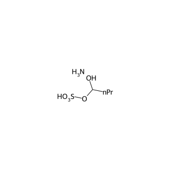 CCCC(O)OS(=O)(=O)O.N